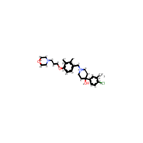 Cc1c(CN2CCC(O)(c3ccc(Cl)c(C(F)(F)F)c3)CC2)ccc(OCCCN2CCOCC2)c1C